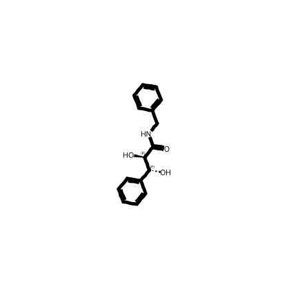 O=C(NCc1ccccc1)[C@H](O)[C@H](O)c1ccccc1